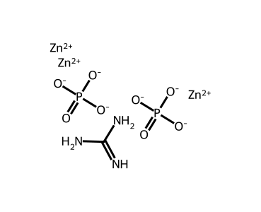 N=C(N)N.O=P([O-])([O-])[O-].O=P([O-])([O-])[O-].[Zn+2].[Zn+2].[Zn+2]